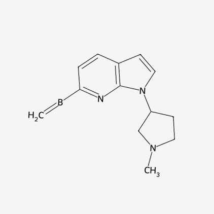 C=Bc1ccc2ccn(C3CCN(C)C3)c2n1